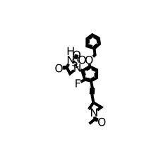 CC(=O)N1CC(C#Cc2ccc(OCc3ccccc3)c(N3CC(=O)NS3(=O)=O)c2F)C1